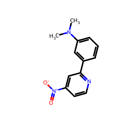 CN(C)c1cccc(-c2cc([N+](=O)[O-])ccn2)c1